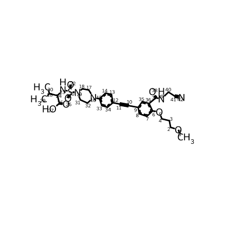 COCCCOc1ccc(C#Cc2ccc(N3CCN(S(=O)(=O)NC(C(=O)O)C(C)C)CC3)cc2)cc1C(=O)NCC#N